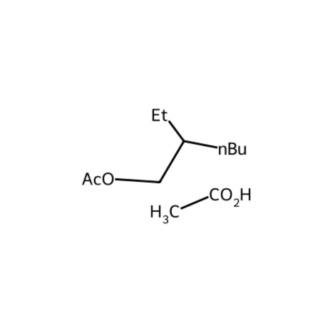 CC(=O)O.CCCCC(CC)COC(C)=O